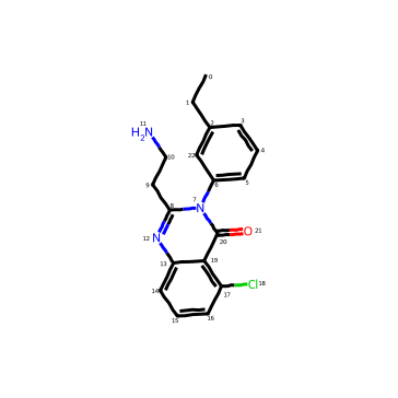 CCc1cccc(-n2c(CCN)nc3cccc(Cl)c3c2=O)c1